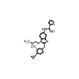 CN(C)CCn1c(Cc2ccc(C3CC3)cc2)nc2cc(NC(=N)c3cccs3)ccc21